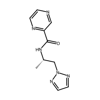 C[C@@H](Cn1nccn1)NC(=O)c1cnccn1